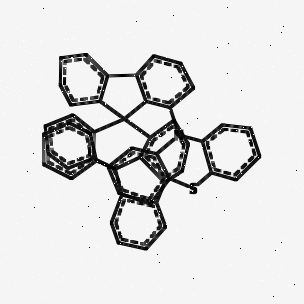 c1ccc(C23c4ccccc4-c4cccc(c42)C2(c4ccccc4-c4cccc(N5c6ccccc6Sc6ccccc65)c42)c2ccccc23)cc1